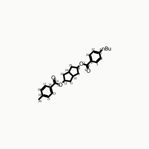 CCCCc1ccc(C(=O)OC2CC3CC(OC(=O)c4ccc(C)cc4)CC3C2)cc1